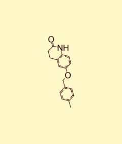 Cc1ccc(COc2ccc3c(c2)CCC(=O)N3)cc1